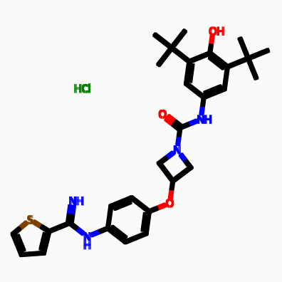 CC(C)(C)c1cc(NC(=O)N2CC(Oc3ccc(NC(=N)c4cccs4)cc3)C2)cc(C(C)(C)C)c1O.Cl